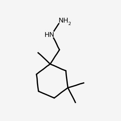 CC1(C)CCCC(C)(CNN)C1